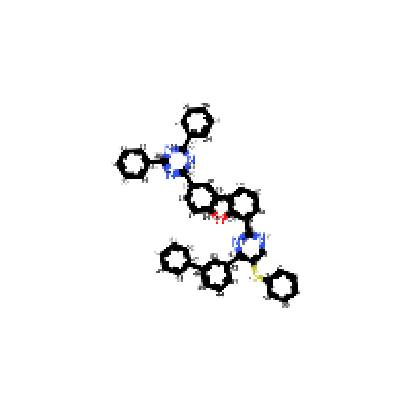 c1ccc(Sc2cnc(-c3cccc4c3oc3ccc(-c5nc(-c6ccccc6)nc(-c6ccccc6)n5)cc34)nc2-c2cccc(-c3ccccc3)c2)cc1